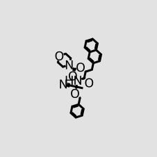 CC(C#N)(NC(=O)C(Cc1ccc2ccccc2c1)OC(=O)N1CCOCC1)OCc1ccccc1